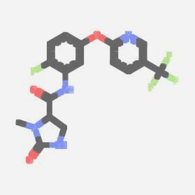 CN1C(=O)NCC1C(=O)Nc1cc(Oc2ccc(C(F)(F)F)cn2)ccc1F